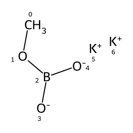 COB([O-])[O-].[K+].[K+]